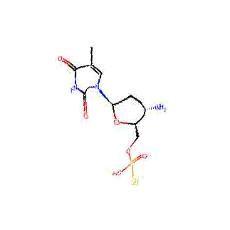 Cc1cn([C@H]2C[C@H](N)[C@@H](COP(=O)(O)S)O2)c(=O)[nH]c1=O